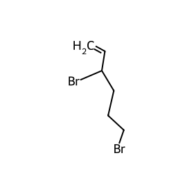 C=CC(Br)CCCBr